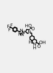 O=C(O)C1CC2CC(CN3C[C@@H](n4nnc(-c5ccc(C(F)(F)F)cc5)n4)C[C@H]3C(=O)O)CC[C@H]2CN1